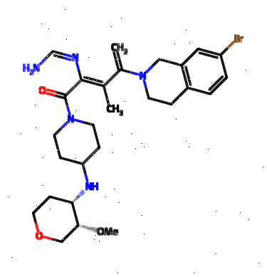 C=C(/C(C)=C(\N=C/N)C(=O)N1CCC(N[C@H]2CCOC[C@H]2OC)CC1)N1CCc2ccc(Br)cc2C1